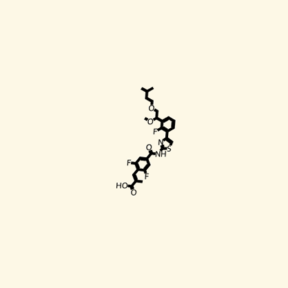 COC(COCCC(C)C)c1cccc(-c2csc(NC(=O)c3cc(F)c(/C=C(\C)C(=O)O)c(F)c3)n2)c1F